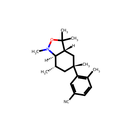 Cc1ccc(C#N)cc1[C@@]1(C)C[C@@H]2[C@@H]([C@@H](C)C1)N(C)OC2(C)C